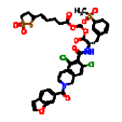 CS(=O)(=O)c1cccc(C[C@H](NC(=O)c2c(Cl)cc3c(c2Cl)CCN(C(=O)c2ccc4ccoc4c2)C3)C(=O)OCOC(=O)CCCC[C@@H]2CCS(=O)(=O)S2)c1